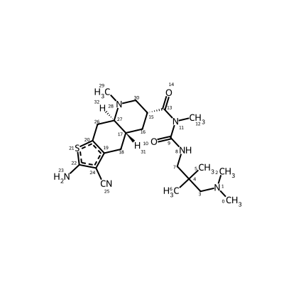 CN(C)CC(C)(C)CNC(=O)N(C)C(=O)[C@@H]1C[C@@H]2Cc3c(sc(N)c3C#N)C[C@H]2N(C)C1